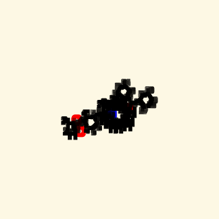 [2H]C1([2H])Oc2ccc(CC([2H])([2H])N3C([2H])([2H])C([2H])([2H])C([2H])([2H])C([2H])(OC(c4ccccc4)c4ccccc4)C3([2H])[2H])cc2O1